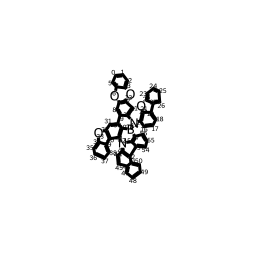 c1ccc2c(c1)Oc1cc3c(cc1O2)N(c1cccc2c1oc1ccccc12)B1c2c-3cc3oc4ccccc4c3c2-n2c3ccc4ccccc4c3c3cccc1c32